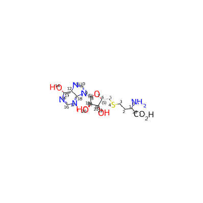 NC(CCSC[C@H]1O[C@@H](n2cnc3c(O)ncnc32)[C@H](O)[C@@H]1O)C(=O)O